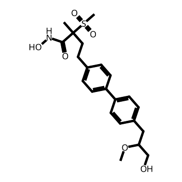 COC(CO)Cc1ccc(-c2ccc(CCC(C)(C(=O)NO)S(C)(=O)=O)cc2)cc1